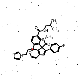 CNC(=O)C1(c2cc(C(=O)NCC(C)C)ccc2OCCn2ccnc2)C(c2ccc(F)cc2)=CC2=C1COC=C2